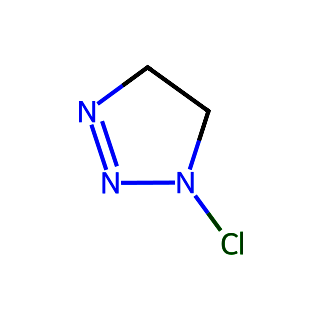 ClN1CCN=N1